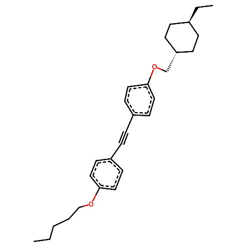 CCCCCOc1ccc(C#Cc2ccc(OC[C@H]3CC[C@H](CC)CC3)cc2)cc1